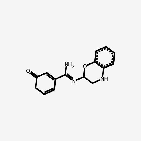 NC(=NC1CNc2ccccc2O1)C1=CC(=O)CC=C1